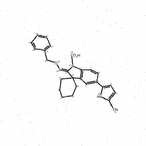 N#Cc1ccc(-c2ccc3c(c2)C2(CCCCC2)C(=NOCc2ccccc2)N3C(=O)O)[nH]1